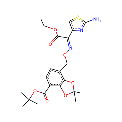 CCOC(=O)/C(=N\OCc1ccc(C(=O)OC(C)(C)C)c2c1OC(C)(C)O2)c1csc(N)n1